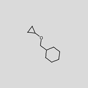 C1CCC(COC2CC2)CC1